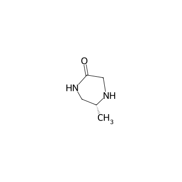 C[C@@H]1CNC(=O)CN1